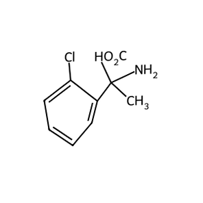 CC(N)(C(=O)O)c1ccccc1Cl